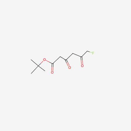 CC(C)(C)OC(=O)CC(=O)CC(=O)CF